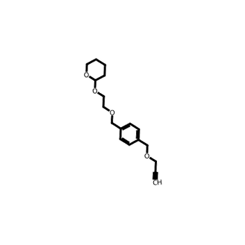 C#CCOCc1ccc(COCCOC2CCCCO2)cc1